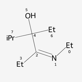 CCN=C(CC)C(O)(CC)C(C)C